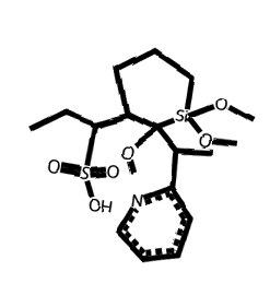 CCC(C1CCC[Si](OC)(OC)C1(OC)C(C)c1ccccn1)S(=O)(=O)O